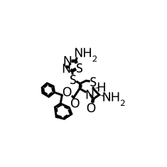 Nc1nnc(SC2=C(C(=O)OC(c3ccccc3)c3ccccc3)N3C(=O)[C@@H](N)[C@@H]3SC2)s1